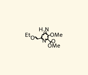 CCOC=Cc1cc(N)c(OC)c(C(=O)OC)n1